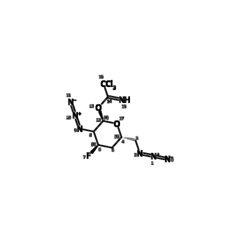 [N-]=[N+]=NC[C@@H]1C[C@@H](F)C(N=[N+]=[N-])[C@@H](OC(=N)C(Cl)(Cl)Cl)O1